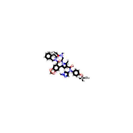 COCCN(C)CCn1c(-c2cc3c(cc2C(=O)N2Cc4ccccc4C[C@H]2C)OCO3)cc(C(=O)N(c2ccc(O[Si](C)(C)C(C)(C)C)cc2)c2cnn(C)c2)c1C